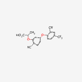 CC(Oc1cc(Oc2ccc(C(F)(F)F)cc2C#N)ccc1C#N)C(=O)O